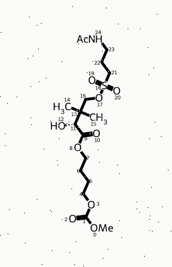 COC(=O)OCCCCOC(=O)[C@H](O)C(C)(C)COS(=O)(=O)CCCNC(C)=O